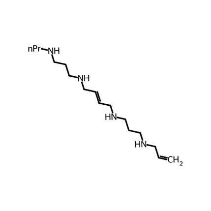 C=CCNCCCNCC=CCNCCCNCCC